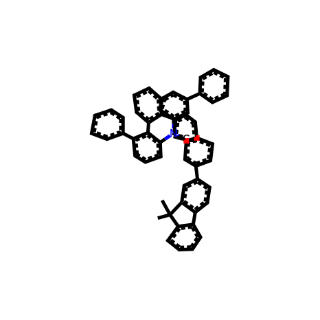 CC1(C)c2ccccc2-c2ccc(-c3cccc(N(c4cccc(-c5ccccc5)c4)c4cccc(-c5ccccc5)c4-c4ccccc4-c4ccccc4)c3)cc21